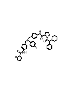 O=C(Nc1ccc(CN(Cc2ccc(NC(=O)C3CCCN3C(=O)C(c3ccccc3)N3CCCCC3)cc2)c2ccc(F)cc2)cc1)C1CCCN1